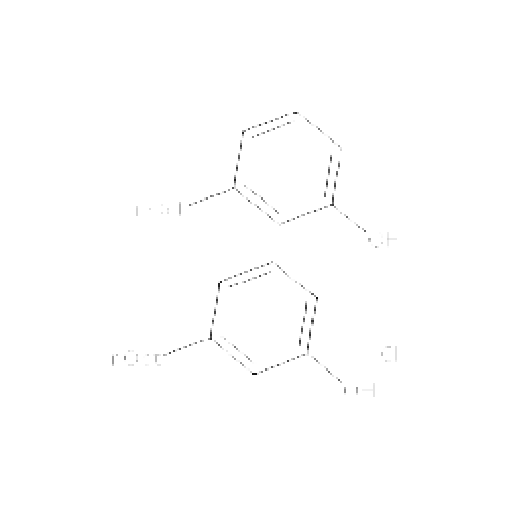 CCCCCCCCc1cccc(O)c1.CCCCCCCCc1cccc(O)c1.Cl